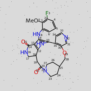 COc1c(F)cccc1Nc1c2[nH]c3c1C(=O)NCC3CC(=O)N1CCC(CC1)COc1cnccc1-2